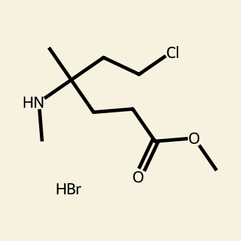 Br.CNC(C)(CCCl)CCC(=O)OC